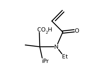 C=CC(=O)N(CC)C(C)(C(=O)O)C(C)C